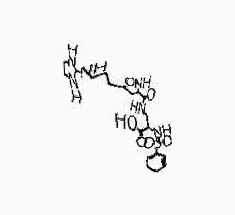 O=C(O)C(CNC(=O)C1CC(CCCNC2NCCN2)ON1)NS(=O)(=O)c1ccccc1